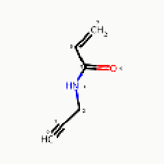 C#CCNC(=O)C=C